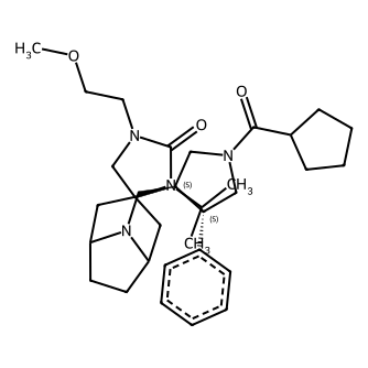 COCCN1CC2(CC3CCC(C2)N3C[C@H]2CN(C(=O)C3CCCC3)C[C@@H]2c2ccccc2)N(C(C)C)C1=O